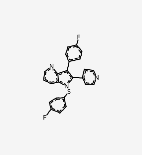 Fc1ccc(Sn2c(-c3ccncc3)c(-c3ccc(F)cc3)c3ncccc32)cc1